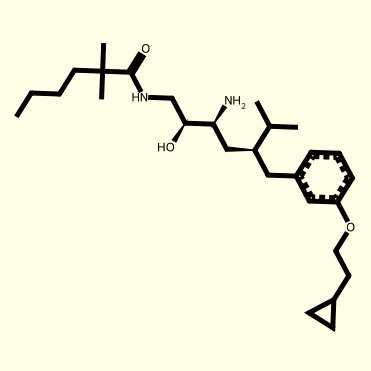 CCCCC(C)(C)C(=O)NC[C@H](O)[C@@H](N)C[C@H](Cc1cccc(OCCC2CC2)c1)C(C)C